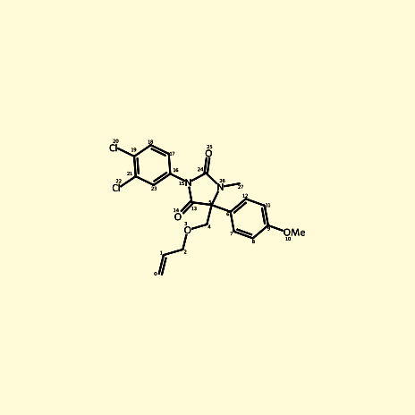 C=CCOCC1(c2ccc(OC)cc2)C(=O)N(c2ccc(Cl)c(Cl)c2)C(=O)N1C